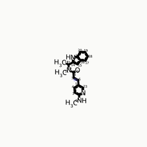 CNc1ccc(/C=C/C(=O)N(C)C(C)c2cc3ccccc3[nH]2)cn1